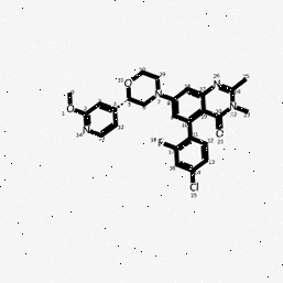 COc1cc([C@H]2CN(c3cc(-c4ccc(Cl)cc4F)c4c(=O)n(C)c(C)nc4c3)CCO2)ccn1